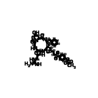 CS(=O)(=O)Oc1ccc(S(=O)(=O)CCSC[C@@H]2N[C@@H](Cc3ccccc3)NC(=O)[C@H](CC(=O)O)NC(=O)CNC(=O)[C@H](CCCNC(=N)N)NC2=O)cc1